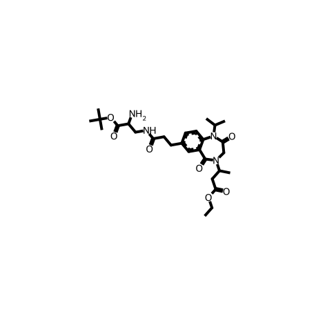 CCOC(=O)CC(C)N1CC(=O)N(C(C)C)c2ccc(CCC(=O)NCC(N)C(=O)OC(C)(C)C)cc2C1=O